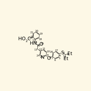 CCC(CC)Sc1ccc(Oc2ccc(CC(=O)Nc3ccccc3C(=O)O)cn2)cc1